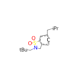 CC(C)Cc1ccc2c(c1)S(=O)(=O)N(CC(C)(C)C)C2